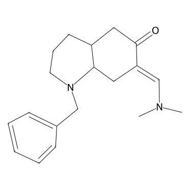 CN(C)C=C1CC2C(CCCN2Cc2ccccc2)CC1=O